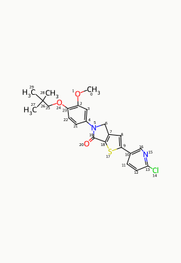 COc1cc(N2Cc3cc(-c4ccc(Cl)nc4)sc3C2=O)ccc1OCC(C)(C)C